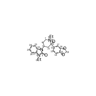 CCn1c(=O)n(C2CC[N+]3(CC)OC3(c3ccc4c(c3)OCO4)C2)c2ccccc21